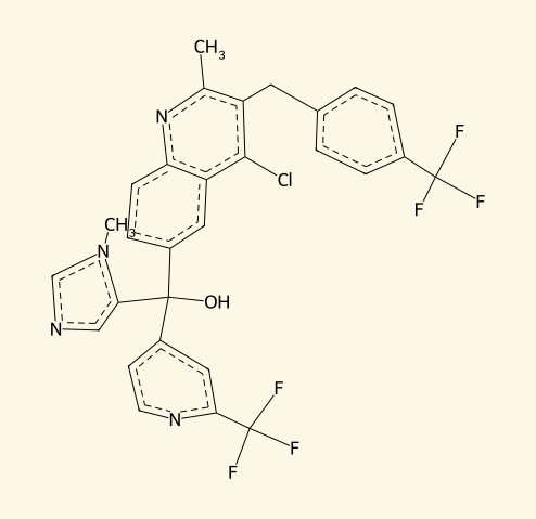 Cc1nc2ccc(C(O)(c3ccnc(C(F)(F)F)c3)c3cncn3C)cc2c(Cl)c1Cc1ccc(C(F)(F)F)cc1